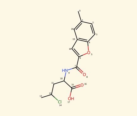 Cc1ccc2oc(C(=O)NC(CC(C)Cl)C(=O)O)cc2c1